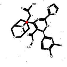 COC(=O)C1=C(CN2C3COCC2CC(CC(=O)O)C3)N=C(c2nccs2)N[C@H]1c1ccc(Cl)c(F)c1